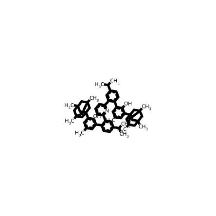 Cc1cc(-c2ccc(C(C)C)cc2-c2cccc(-c3cc(C(C)C)ccc3-c3cc(C)cc(C45CC6(C)CC(C)(CC(C)(C6)C4)C5)c3O)n2)c(O)c(C23CC4(C)CC(C)(CC(C)(C4)C2)C3)c1